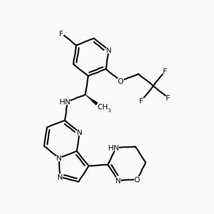 C[C@@H](Nc1ccn2ncc(C3=NOCCN3)c2n1)c1cc(F)cnc1OCC(F)(F)F